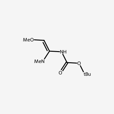 CN/C(=C\OC)NC(=O)OC(C)(C)C